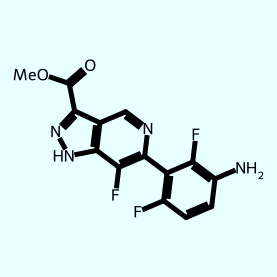 COC(=O)c1n[nH]c2c(F)c(-c3c(F)ccc(N)c3F)ncc12